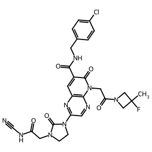 CC1(F)CN(C(=O)Cn2c(=O)c(C(=O)NCc3ccc(Cl)cc3)cc3nc(N4CCN(CC(=O)NC#N)C4=O)cnc32)C1